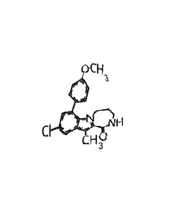 COc1ccc(-c2cc(Cl)cc3c(C)c4n(c23)CCCNC4=O)cc1